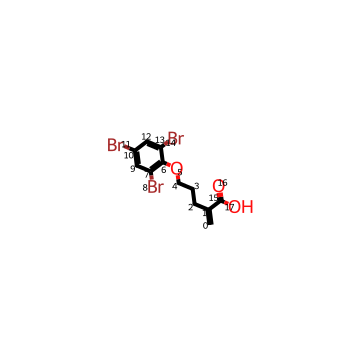 C=C(CCCOc1c(Br)cc(Br)cc1Br)C(=O)O